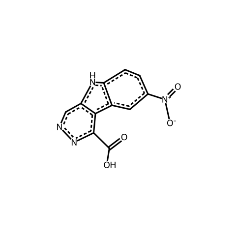 O=C(O)c1nncc2[nH]c3ccc([N+](=O)[O-])cc3c12